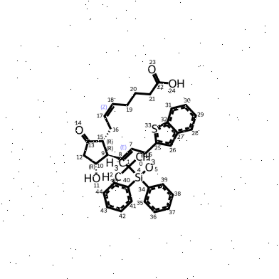 CC(C)(C)[Si](O[C@H](/C=C/[C@H]1[C@H](O)CC(=O)[C@@H]1C/C=C\CCCC(=O)O)c1cc2ccccc2s1)(c1ccccc1)c1ccccc1